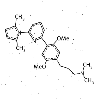 COc1cc(-c2cccc(-n3c(C)ccc3C)n2)c(OC)cc1CCCN(C)C